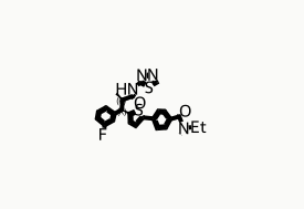 CCN(C)C(=O)c1ccc(-c2ccc([C@@H](c3cccc(F)c3)[C@@H](C)C(=O)Nc3nncs3)s2)cc1